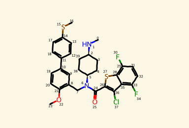 CN[C@H]1CC[C@@H](N(Cc2cc(-c3ccc(SC)cc3)ccc2OC)C(=O)c2sc3c(F)ccc(F)c3c2Cl)CC1